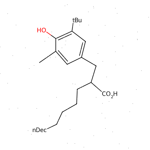 CCCCCCCCCCCCCCC(Cc1cc(C)c(O)c(C(C)(C)C)c1)C(=O)O